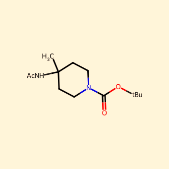 CC(=O)NC1(C)CCN(C(=O)OC(C)(C)C)CC1